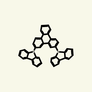 c1ccc2c(c1)c1ccc(-n3c4ccccc4c4ccccc43)cc1c1cc(-n3c4ccccc4c4ccccc43)ccc21